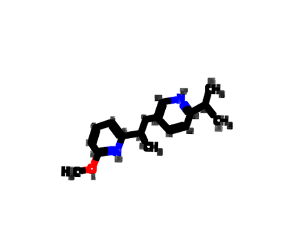 COc1cccc(C(C)Cc2ccc(C(C)C)nc2)n1